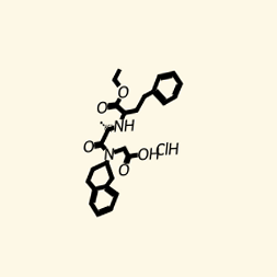 CCOC(=O)C(CCc1ccccc1)N[C@@H](C)C(=O)N(CC(=O)O)C1CCc2ccccc2C1.Cl